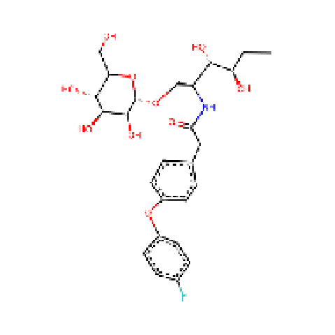 CC[C@@H](O)[C@@H](O)[C@H](CO[C@H]1OC(CO)[C@@H](O)[C@H](O)C1O)NC(=O)Cc1ccc(Oc2ccc(F)cc2)cc1